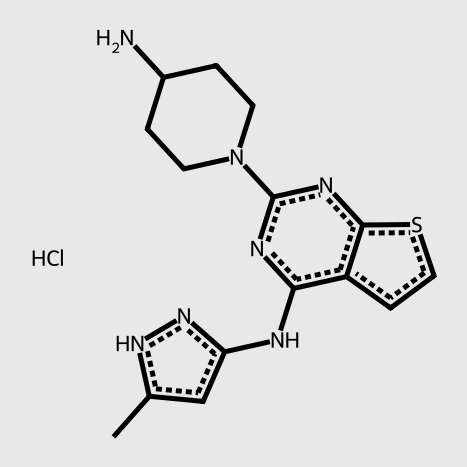 Cc1cc(Nc2nc(N3CCC(N)CC3)nc3sccc23)n[nH]1.Cl